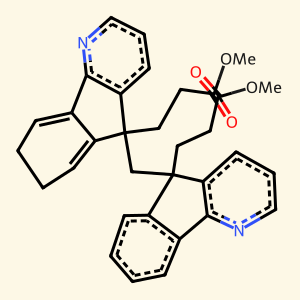 COC(=O)CCC1(CC2(CCC(=O)OC)c3ccccc3-c3ncccc32)C2=CCCC=C2c2ncccc21